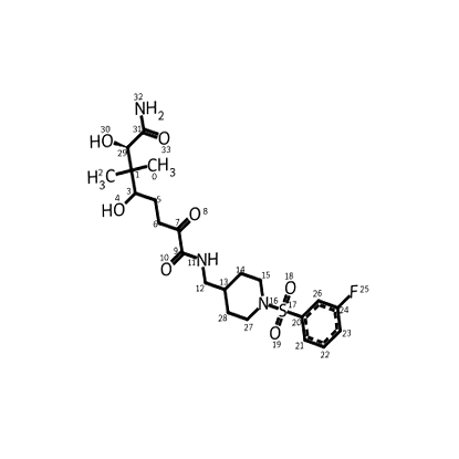 CC(C)(C(O)CCC(=O)C(=O)NCC1CCN(S(=O)(=O)c2cccc(F)c2)CC1)[C@@H](O)C(N)=O